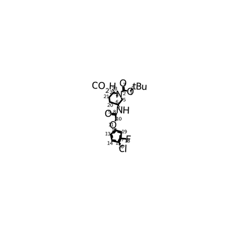 CC(C)(C)OC(=O)N1CC(NC(=O)COc2ccc(Cl)c(F)c2)CC[C@@H]1C(=O)O